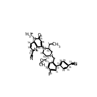 CC[C@H]1CN(Cc2ccc(F)cc2-c2ccc(C#N)cc2)[C@H](COC)CN1c1cc(=O)n(C)c2ccc(C#N)nc12